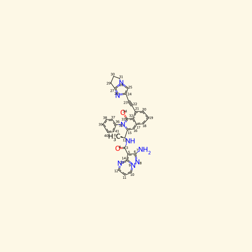 C[C@H](NC(=O)c1c(N)nn2cccnc12)c1cc2cccc(C#Cc3cn4c(n3)CCC4)c2c(=O)n1-c1ccccc1